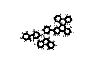 c1ccc(-c2c(-c3ccccc3)c3cc(-c4cccc(N(c5ccc6c(c5)oc5ccccc56)c5cc6ccccc6c6ccccc56)c4)ccc3c3ccccc23)cc1